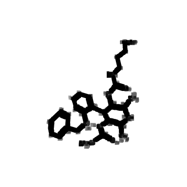 COCCCNC(=O)OC1=C(C)NC(C)=C(OC(=O)OC)C1c1ccccc1OCc1ccccc1